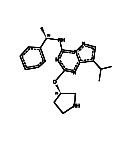 CC(C)c1cnn2c(N[C@@H](C)c3ccccc3)nc(O[C@H]3CCNC3)nc12